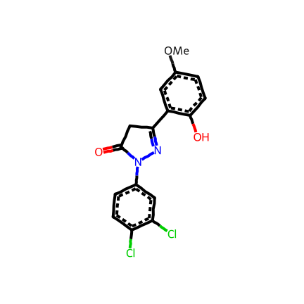 COc1ccc(O)c(C2=NN(c3ccc(Cl)c(Cl)c3)C(=O)C2)c1